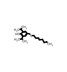 CCCCCCCCSCc1cc(C(C)C)c(O)c(C(C)C)c1